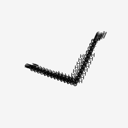 O=[Si](O)O.O=[Si](O)O.O=[Si](O)O.O=[Si](O)O.O=[Si](O)O.O=[Si](O)O.O=[Si](O)O.O=[Si](O)O.O=[Si](O)O.O=[Si](O)O.O=[Si](O)O.O=[Si](O)O.O=[Si](O)O.O=[Si](O)O.O=[Si](O)O.O=[Si]([O-])[O-].O=[Si]([O-])[O-].O=[Si]([O-])[O-].O=[Si]([O-])[O-].O=[Si]([O-])[O-].O=[Si]([O-])[O-].O=[Si]([O-])[O-].O=[Si]([O-])[O-].O=[Si]([O-])[O-].O=[Si]([O-])[O-].[Ca+2].[Ca+2].[Ca+2].[Ca+2].[Ca+2].[Ca+2].[Ca+2].[Ca+2].[Ca+2].[Ca+2]